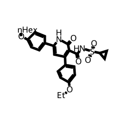 CCCCCCOc1ccc(-c2cc(-c3ccc(OCC)cc3)c(C(=O)NS(=O)(=O)C3CC3)c(=O)[nH]2)cc1